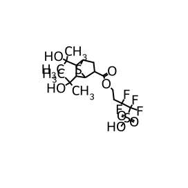 CC(C)(O)C1C2CC(C(=O)OCCC(F)(F)C(F)(F)S(=O)(=O)O)C(S2)C1C(C)(C)O